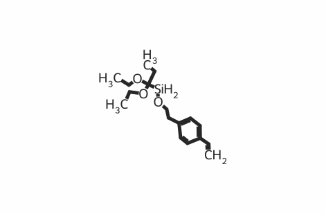 C=Cc1ccc(CCO[SiH2]C(CC)(OCC)OCC)cc1